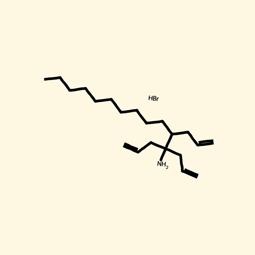 Br.C=CCC(CCCCCCCCCC)C(N)(CC=C)CC=C